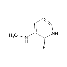 CNC1=CC=CN[C]1F